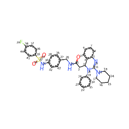 O=C(CC1c2ccccc2N=C(N2CCCCC2)N1c1ccccc1)NCc1ccc(NS(=O)(=O)c2ccc(F)cc2)cc1